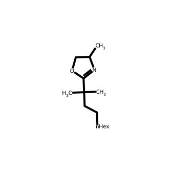 CCCCCCCCC(C)(C)C1=NC(C)CO1